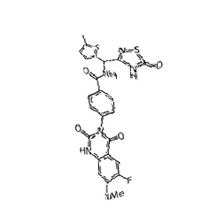 CNc1cc2[nH]c(=O)n(-c3ccc(C(=O)NC(c4nsc(=O)[nH]4)c4ccc(C)s4)cc3)c(=O)c2cc1F